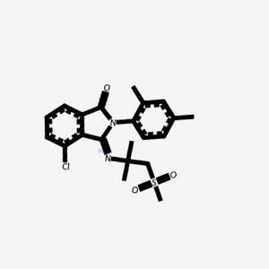 Cc1ccc(N2C(=O)c3cccc(Cl)c3/C2=N/C(C)(C)CS(C)(=O)=O)c(C)c1